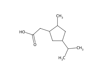 CC(C)C1CC(C)C(CC(=O)O)C1